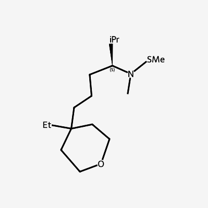 CCC1(CCC[C@@H](C(C)C)N(C)SC)CCOCC1